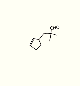 CC(C)(C=O)CC1C=CCC1